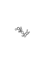 COc1ccc(OC)c(S(=O)(=O)N2CCC(N3C(=O)OCc4cc(F)c(F)cc43)CC2)c1